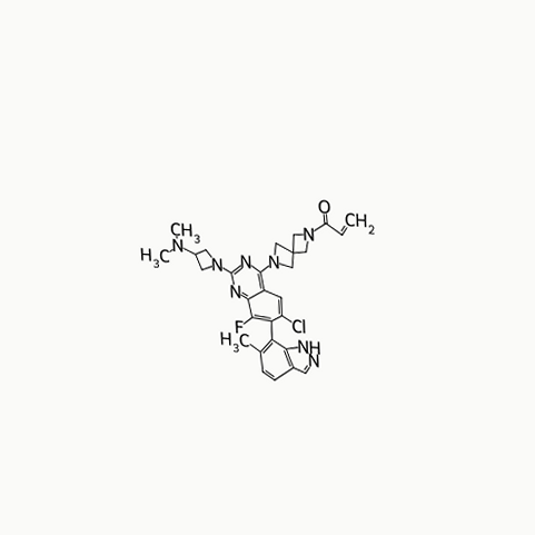 C=CC(=O)N1CC2(C1)CN(c1nc(N3CC(N(C)C)C3)nc3c(F)c(-c4c(C)ccc5cn[nH]c45)c(Cl)cc13)C2